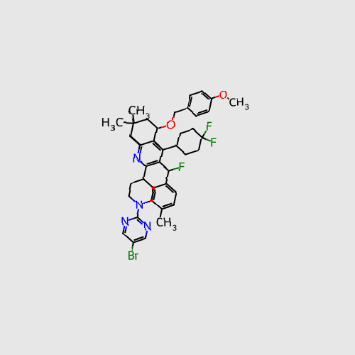 COc1ccc(COC2CC(C)(C)Cc3nc(C4CCN(c5ncc(Br)cn5)CC4)c(C(F)c4ccc(C)cc4)c(C4CCC(F)(F)CC4)c32)cc1